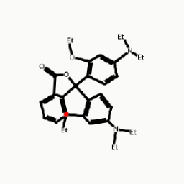 CCOc1cc(N(CC)CC)ccc1C1(c2ccc(N(CC)CC)cc2OCC)OC(=O)c2cccnc21